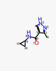 Cc1n[nH]cc1C(=O)NC1CC1